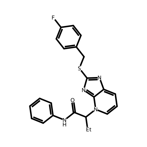 CCC(C(=O)Nc1ccccc1)n1cccc2nc(SCc3ccc(F)cc3)nc1-2